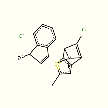 CC1=C2c3cc(C)sc3C1[Si]2(C)C.[Cl-].[Cl-].[Zr+2][CH]1C=Cc2ccccc21